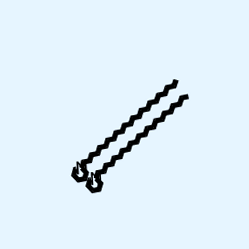 CCCCCCCCCCCCCCCCCCCCCCCN1CCCCC1.CCCCCCCCCCCCCCCCCCCCCCN1CCCCC1